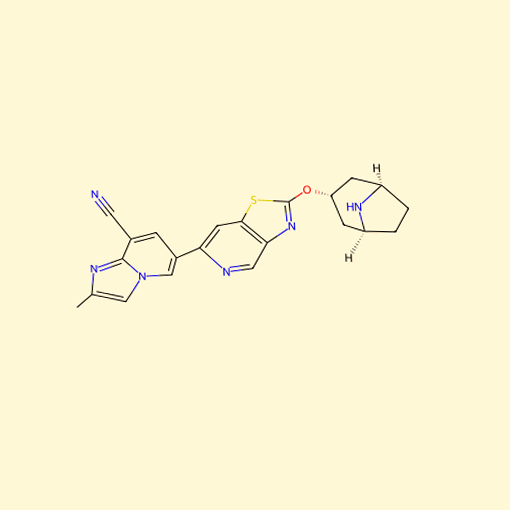 Cc1cn2cc(-c3cc4sc(O[C@@H]5C[C@H]6CC[C@@H](C5)N6)nc4cn3)cc(C#N)c2n1